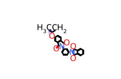 C=C/C(=C\C)Oc1ccc2c(c1)C(=O)N(c1cccc(N3C(=O)c4ccccc4C3=O)c1)C2=O